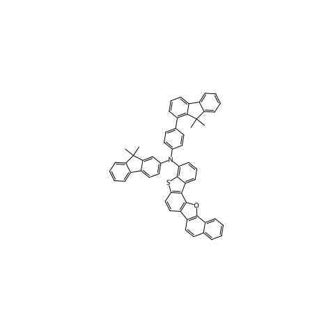 CC1(C)c2ccccc2-c2ccc(N(c3ccc(-c4cccc5c4C(C)(C)c4ccccc4-5)cc3)c3cccc4c3sc3ccc5c6ccc7ccccc7c6oc5c34)cc21